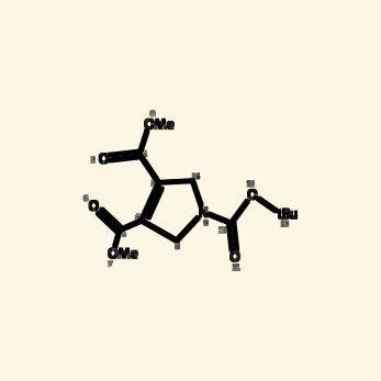 COC(=O)C1=C(C(=O)OC)CN(C(=O)OC(C)(C)C)C1